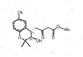 CC(C)(C)OC(=O)CC(=O)C[C@H]1c2cc(C#N)ccc2OC(C)(C)[C@@H]1O